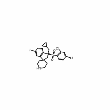 O=S(=O)(c1ccc(Cl)cc1Cl)[N+]1(CC2CC2)CC2(CCNCC2)c2cc(F)ccc21